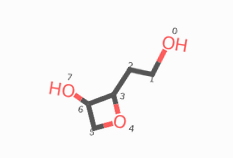 OCCC1OCC1O